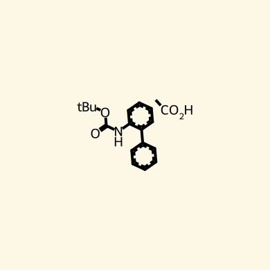 CC(=O)O.CC(C)(C)OC(=O)Nc1ccccc1-c1ccccc1